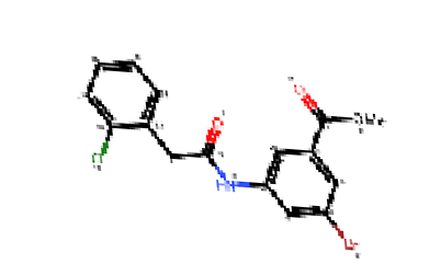 COC(=O)c1cc(Br)cc(NC(=O)Cc2ccccc2Cl)c1